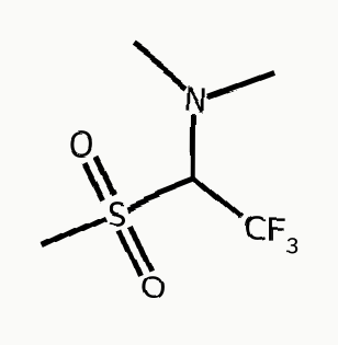 CN(C)C(C(F)(F)F)S(C)(=O)=O